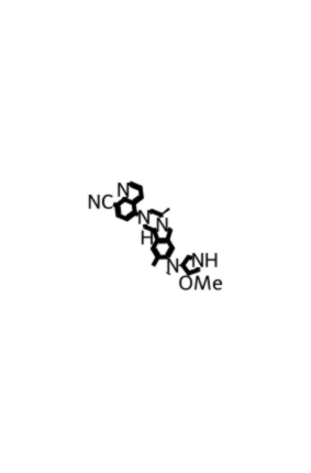 CO[C@@H]1CNC[C@H]1N(C)c1cc2c(cc1C)[C@H]1CN(c3ccc(C#N)c4ncccc34)C[C@@H](C)N1C2